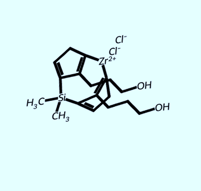 C[Si]1(C)C2=CC[C](=C2CCCO)[Zr+2][C]2=C(CCCO)C1=CC2.[Cl-].[Cl-]